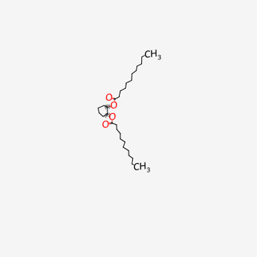 CCCCCCCCCCCC(=O)O[C@@H]1CCCC[C@H]1OC(=O)CCCCCCCCCCC